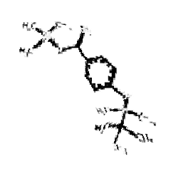 C=C(O[Si](C)(C)C)c1ccc(O[Si](C)(C)C(C)(C)C)cc1